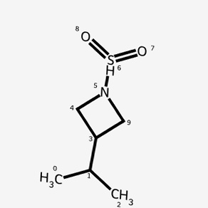 CC(C)C1CN([SH](=O)=O)C1